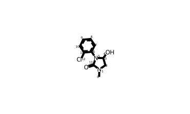 CN1CC(O)N(c2ccccc2Cl)C1=O